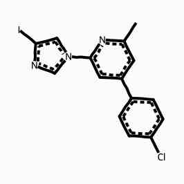 Cc1cc(-c2ccc(Cl)cc2)cc(-n2cnc(I)c2)n1